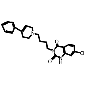 O=c1[nH]c2cc(Cl)ccc2c(=O)n1CCCCN1CC=C(c2ccccc2)CC1